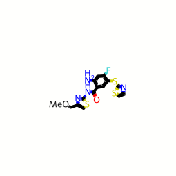 COCc1csc(NC(=O)c2cc(Sc3nccs3)c(F)cc2N)n1